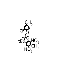 Cc1ccc(OCC(=O)Oc2c(C(C)(C)C)cc([N+](=O)[O-])c(C)c2[N+](=O)[O-])c(Cl)c1